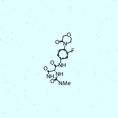 CNC(=O)N[C@H](C(N)=O)C(=O)Nc1ccc(N2CCOCC2=O)c(F)c1